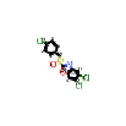 [O-][S+](Cc1ccc(Cl)cc1)c1nc2cc(Cl)c(Cl)cc2o1